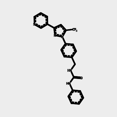 O=C(NCc1ccc(-n2nc(-c3cccnc3)cc2C(F)(F)F)cc1)Nc1ccccc1